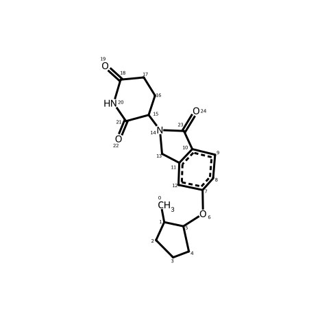 CC1CCCC1Oc1ccc2c(c1)CN(C1CCC(=O)NC1=O)C2=O